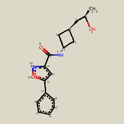 C[C@@H](O)C[C@H]1C[C@H](NC(=O)c2cc(-c3ccccc3)on2)C1